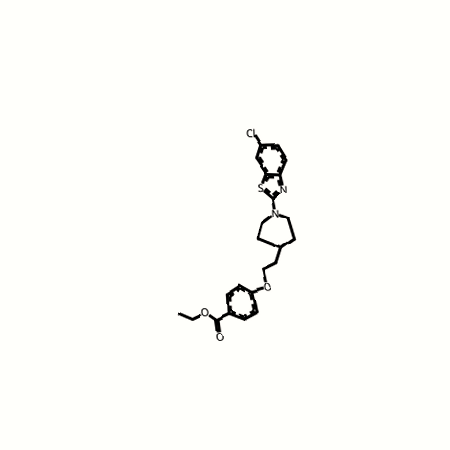 CCOC(=O)c1ccc(OCCC2CCN(c3nc4ccc(Cl)cc4s3)CC2)cc1